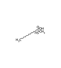 CCCCCCCCCCCCCCC(C(=O)O)C(C)S